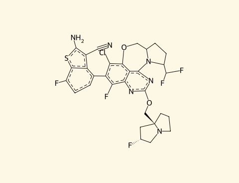 N#Cc1c(N)sc2c(F)ccc(-c3c(Cl)c4c5c(nc(OC[C@@]67CCCN6C[C@H](F)C7)nc5c3F)N3C(CCC3C(F)F)CO4)c12